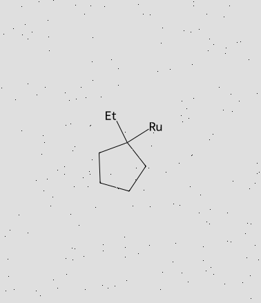 CC[C]1([Ru])CCCC1